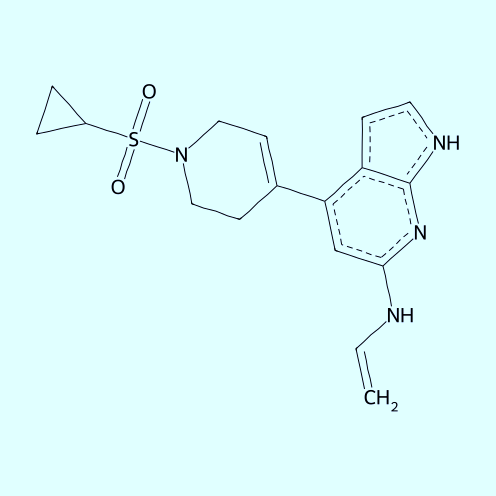 C=CNc1cc(C2=CCN(S(=O)(=O)C3CC3)CC2)c2cc[nH]c2n1